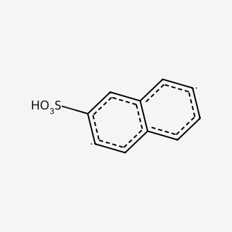 O=S(=O)(O)c1[c]cc2cc[c]cc2c1